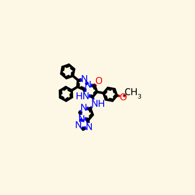 COc1ccc(-c2c(Nc3cc4ncnn4cn3)[nH]c3c(-c4ccccc4)c(-c4ccccc4)nn3c2=O)cc1